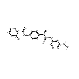 O=C(Nc1ccc(N(S)C(=O)Nc2cccc(OC(F)(F)F)c2)cc1)c1ccccc1F